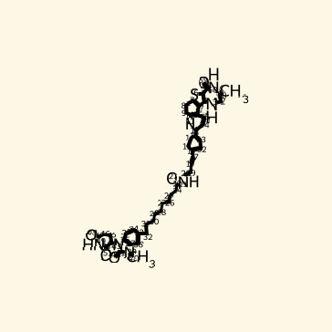 C[C@@H]1CNc2c(sc3ccc4nc(-c5ccc(C#CCCNC(=O)CCCCCCCCCc6ccc7c(c6)n(C)c(=O)n7C6CCC(=O)NC6=O)cc5)ccc4c23)C(=O)N1